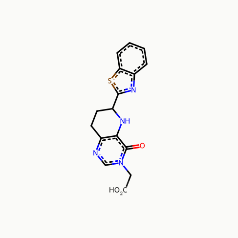 O=C(O)Cn1cnc2c(c1=O)NC(c1nc3ccccc3s1)CC2